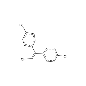 ClC=C(c1ccc(Cl)cc1)c1ccc(Br)cc1